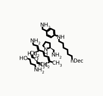 C=COC=C.CC(C)=CCC/C(C)=C/CN.CCCCCCCCCCCCCCCCNc1ccc(CN)cc1.NCCCO.NC[C@@H]1CCCN1